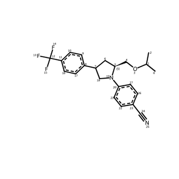 CC(C)OC[C@@H]1CC(c2ccc(C(F)(F)F)cc2)CN1c1ccc(C#N)cc1